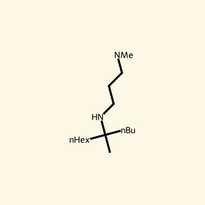 CCCCCCC(C)(CCCC)NCCCNC